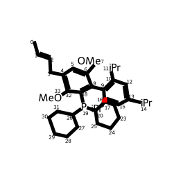 CC=CCc1cc(OC)c(-c2c(C(C)C)cc(C(C)C)cc2C(C)C)c(P(C2CCCCC2)C2CCCCC2)c1OC